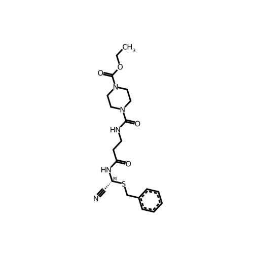 CCOC(=O)N1CCN(C(=O)NCCC(=O)N[C@@H](C#N)SCc2ccccc2)CC1